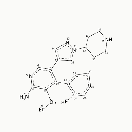 CCOc1c(N)ncc(-c2cnn(C3CCNCC3)c2)c1-c1ccccc1F